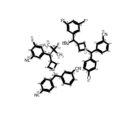 CC(C)(C)C(c1cc(F)cc(F)c1)C1CN(C(c2ccc(Cl)cc2)c2cccc(C#N)c2)C1.CC(C)(F)[C@H](c1cc(F)cc(C#N)c1)C1CN([C@@H](c2ccc(C#N)cc2)c2cccc(C#N)c2)C1